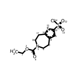 CCOC(=O)N1CCc2cc(S(=O)(=O)Cl)sc2CC1